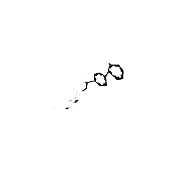 CC(CNS(=O)(=O)N(C)C)c1ccc(-c2ccccc2F)cc1